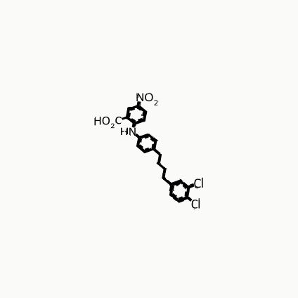 O=C(O)c1cc([N+](=O)[O-])ccc1Nc1ccc(CCCCc2ccc(Cl)c(Cl)c2)cc1